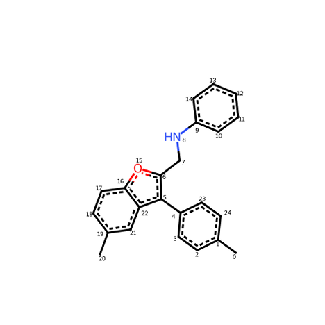 Cc1ccc(-c2c(CNc3ccccc3)oc3ccc(C)cc23)cc1